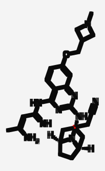 C/C(N)=C/C(=N)Nc1nc(N[C@@H]2C[C@H]3CC[C@@H](C2)N3CCC#N)nc2cc(OCC3CN(C)C3)ccc12